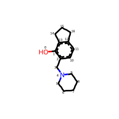 Oc1c(CN2CCCCC2)ccc2c1CCC2